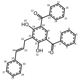 O=C(c1ccccc1)c1cc(C(=O)c2ccccc2)c(O)c(C/C=C/c2ccccc2)c1O